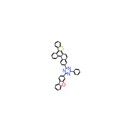 c1ccc(-c2nc(-c3ccc4c(ccc5c6sc7ccccc7c6c6ccccc6c45)c3)nc(-c3ccc4c(c3)oc3ccccc34)n2)cc1